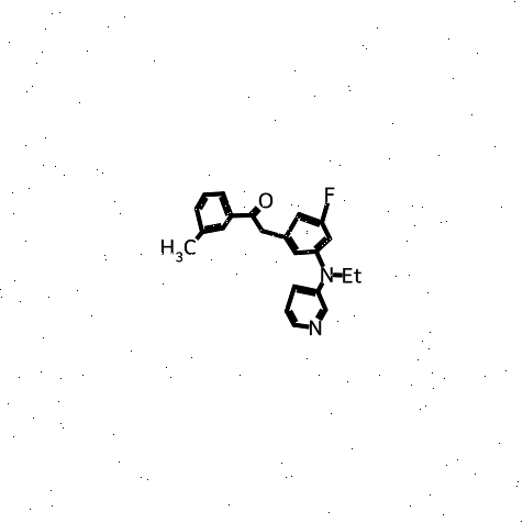 CCN(c1cccnc1)c1cc(F)cc(CC(=O)c2cccc(C)c2)c1